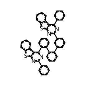 c1ccc(-c2nc(-c3ccccc3-c3ccccc3-c3cccc(-c4nc(-c5ccccc5)c5c(n4)sc4ccccc45)c3)c3c(n2)sc2ccccc23)cc1